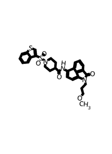 COCCCN1C(=O)c2cccc3c(NC(=O)C4CCN(S(=O)(=O)c5csc6ccccc56)CC4)ccc1c23